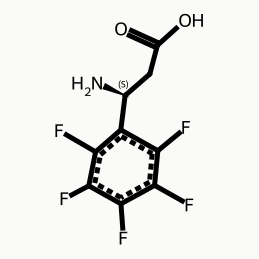 N[C@@H](CC(=O)O)c1c(F)c(F)c(F)c(F)c1F